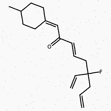 C=CCC(F)(C=C)C/C=C/C(=O)C=C1CCC(C)CC1